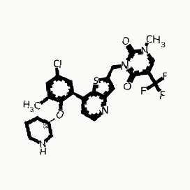 Cc1cc(Cl)cc(-c2ccnc3cc(Cn4c(=O)c(C(F)(F)F)cn(C)c4=O)sc23)c1O[C@H]1CCCNC1